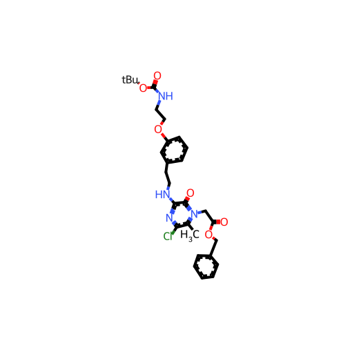 Cc1c(Cl)nc(NCCc2cccc(OCCNC(=O)OC(C)(C)C)c2)c(=O)n1CC(=O)OCc1ccccc1